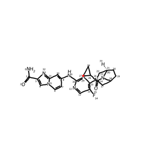 NC(=O)c1cn2ccc(Nc3ncc(F)c(N4CC5CC[C@H](C4)N5C(=O)C4CC4)n3)cc2n1